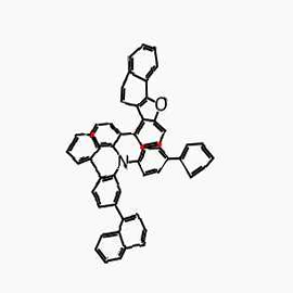 c1ccc(-c2ccc(N(c3cc(-c4cccc5ccccc45)ccc3-c3ccccc3)c3ccccc3-c3cccc4oc5c6ccccc6ccc5c34)cc2)cc1